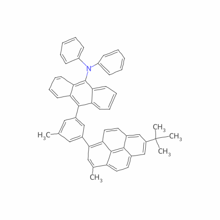 Cc1cc(-c2c3ccccc3c(N(c3ccccc3)c3ccccc3)c3ccccc23)cc(-c2cc(C)c3ccc4cc(C(C)(C)C)cc5ccc2c3c45)c1